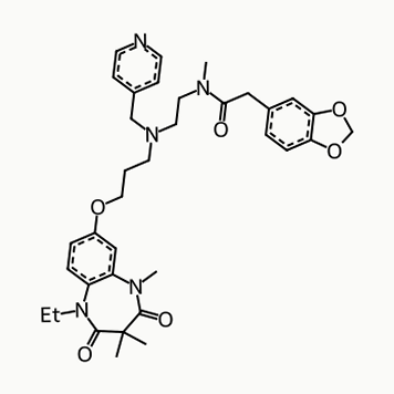 CCN1C(=O)C(C)(C)C(=O)N(C)c2cc(OCCCN(CCN(C)C(=O)Cc3ccc4c(c3)OCO4)Cc3ccncc3)ccc21